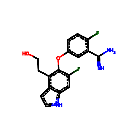 N=C(N)c1cc(Oc2c(F)cc3[nH]ccc3c2CCO)ccc1F